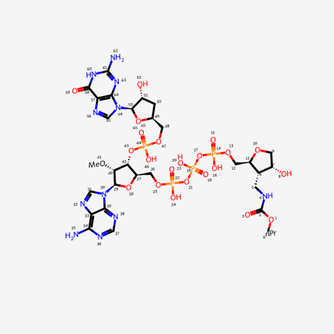 CCCOC(=O)NC[C@H]1[C@@H](O)CO[C@@H]1COP(=O)(O)OP(=O)(O)OP(=O)(O)OC[C@H]1O[C@@H](n2cnc3c(N)ncnc32)[C@H](OC)[C@@H]1OP(=O)(O)OC[C@@H]1C[C@@H](O)[C@H](n2cnc3c(=O)[nH]c(N)nc32)O1